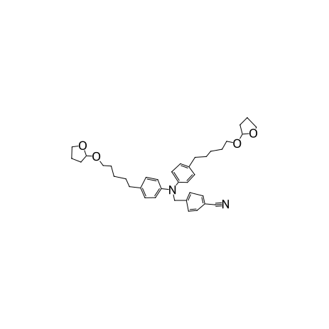 N#Cc1ccc(CN(c2ccc(CCCCCOC3CCCO3)cc2)c2ccc(CCCCCOC3CCCO3)cc2)cc1